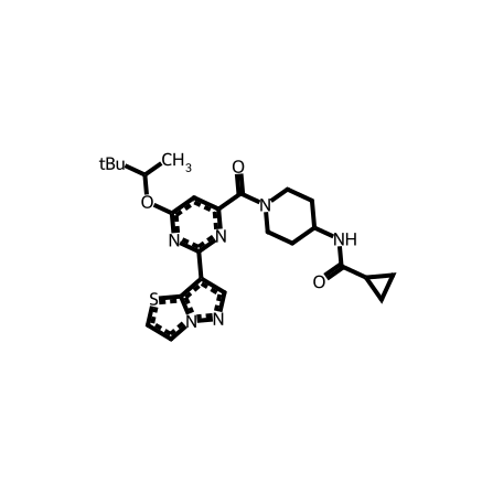 CC(Oc1cc(C(=O)N2CCC(NC(=O)C3CC3)CC2)nc(-c2cnn3ccsc23)n1)C(C)(C)C